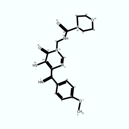 COc1ccc(C(=N)c2ncn(CNC(=O)N3CCOCC3)c(=O)c2S)cc1